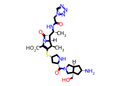 C[C@@H](NC(=O)Cn1cnnn1)[C@H]1C(=O)N2C(C(=O)O)=C(S[C@@H]3CN[C@H](C(=O)N4C[C@H]5C[C@H](N)C[C@@]5(CO)C4)C3)[C@H](C)[C@H]12